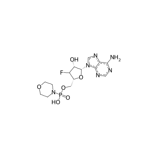 Nc1ncnc2c1ncn2[C@@H]1O[C@H](COP(=O)(O)N2CCOCC2)C(F)[C@@H]1O